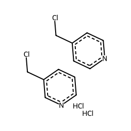 Cl.Cl.ClCc1cccnc1.ClCc1ccncc1